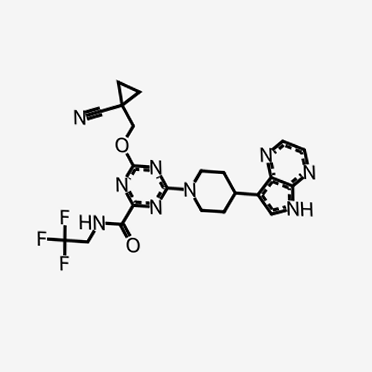 N#CC1(COc2nc(C(=O)NCC(F)(F)F)nc(N3CCC(c4c[nH]c5nccnc45)CC3)n2)CC1